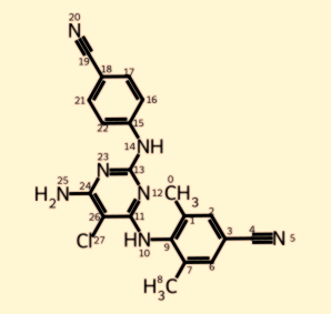 Cc1cc(C#N)cc(C)c1Nc1nc(Nc2ccc(C#N)cc2)nc(N)c1Cl